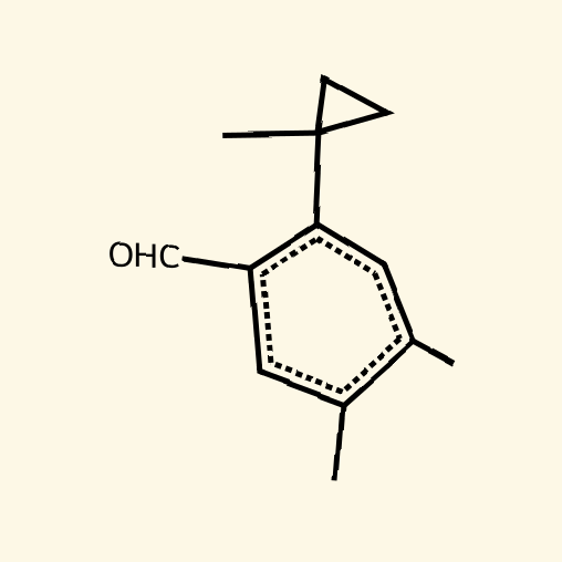 Cc1cc(C=O)c(C2(C)CC2)cc1C